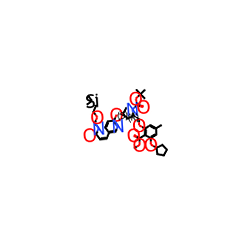 COC(=O)c1c(OC[C@H]2C[C@H](Oc3cc4c(ccc(=O)n4COCC[Si](C)(C)C)cn3)CN2C(=O)OC(C)(C)C)cc(C)cc1OC1CCCC1